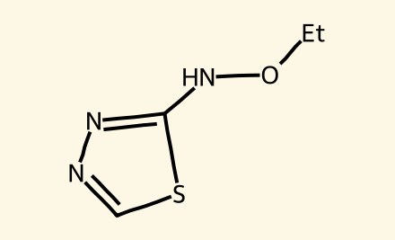 CCONc1nncs1